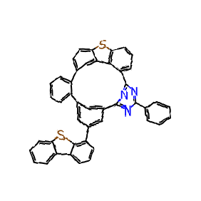 c1ccc(-c2nc3nc(n2)c2cccc4sc5ccc(cc5c42)c2ccccc2c2cc(-c4cccc5c4sc4ccccc45)cc3c2)cc1